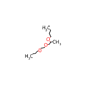 CCCCOCCOCC(C)OCCCC